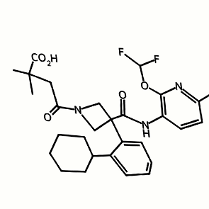 Cc1ccc(NC(=O)C2(c3ccccc3C3CCCCC3)CN(C(=O)CC(C)(C)C(=O)O)C2)c(OC(F)F)n1